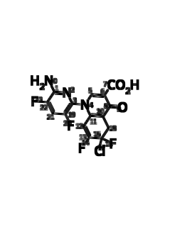 Nc1nc(-n2cc(C(=O)O)c(=O)c3c2C=C(F)C(F)(Cl)C3)c(F)cc1F